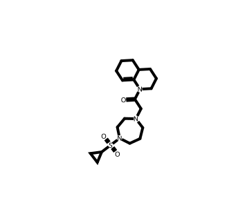 O=C(CN1CCCN(S(=O)(=O)C2CC2)CC1)N1CCCC2CCCC=C21